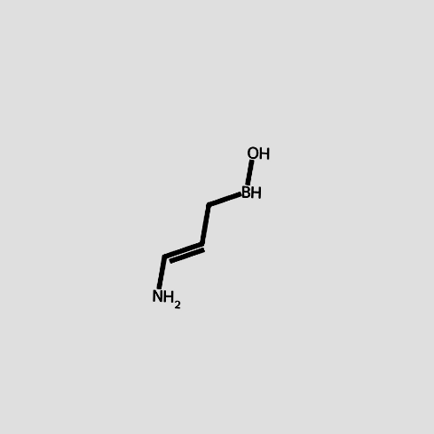 N/C=C/CBO